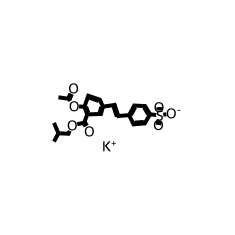 CC(=O)Oc1ccc(C=Cc2ccc(S(=O)(=O)[O-])cc2)cc1C(=O)OCC(C)C.[K+]